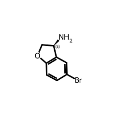 N[C@@H]1COc2ccc(Br)cc21